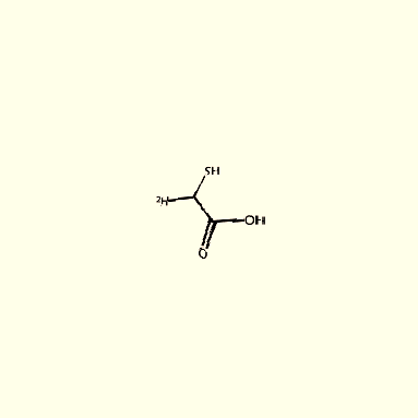 [2H]C(S)C(=O)O